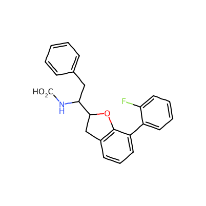 O=C(O)NC(Cc1ccccc1)C1Cc2cccc(-c3ccccc3F)c2O1